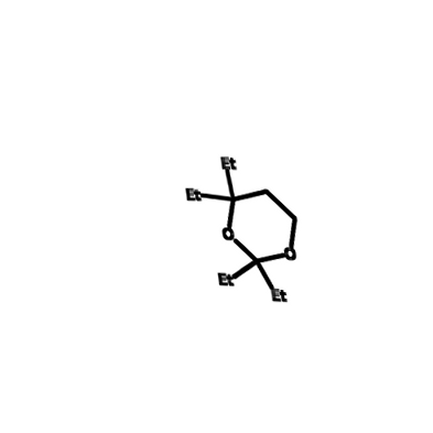 CCC1(CC)CCOC(CC)(CC)O1